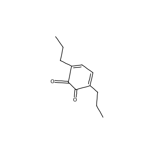 CCCC1=CC=C(CCC)C(=O)C1=O